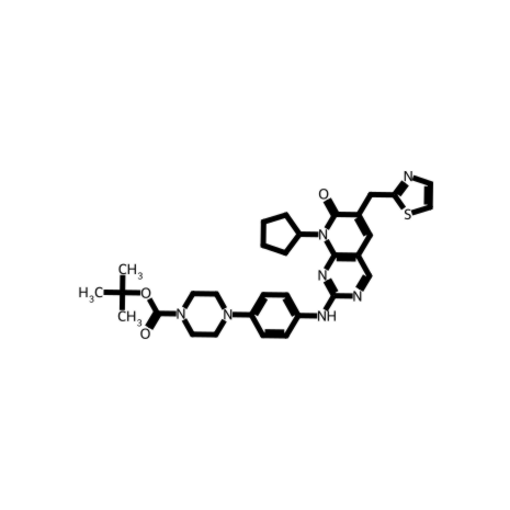 CC(C)(C)OC(=O)N1CCN(c2ccc(Nc3ncc4cc(Cc5nccs5)c(=O)n(C5CCCC5)c4n3)cc2)CC1